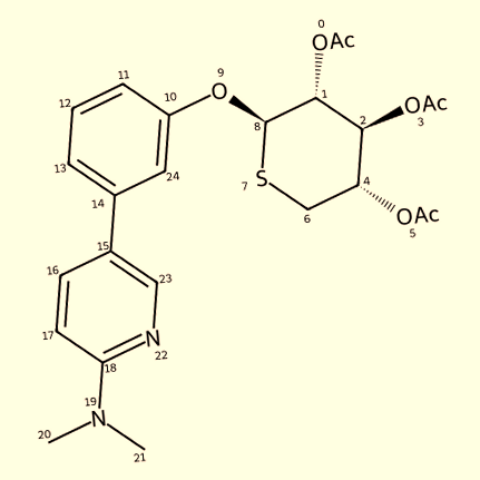 CC(=O)O[C@@H]1[C@@H](OC(C)=O)[C@H](OC(C)=O)CS[C@H]1Oc1cccc(-c2ccc(N(C)C)nc2)c1